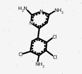 Nc1cc(-c2cc(Cl)c(N)c(Cl)c2Cl)nc(N)n1